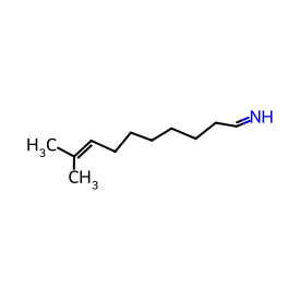 CC(C)=CCCCCCCC=N